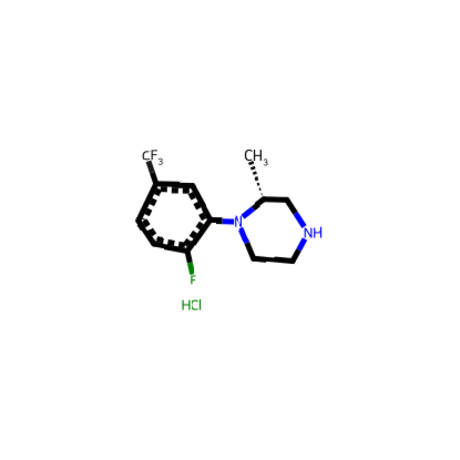 C[C@@H]1CNCCN1c1cc(C(F)(F)F)ccc1F.Cl